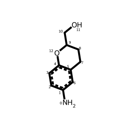 Nc1ccc2c(c1)CCC(CO)O2